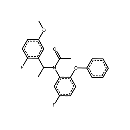 COc1ccc(F)c(C(C)N(C(C)=O)c2cc(F)ccc2Oc2ccccc2)c1